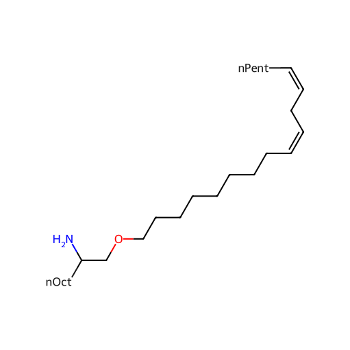 CCCCC/C=C\C/C=C\CCCCCCCCOCC(N)CCCCCCCC